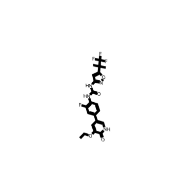 CCOc1cc(-c2ccc(NC(=O)Nc3cc(C(C)(C)C(F)(F)F)on3)c(F)c2)c[nH]c1=O